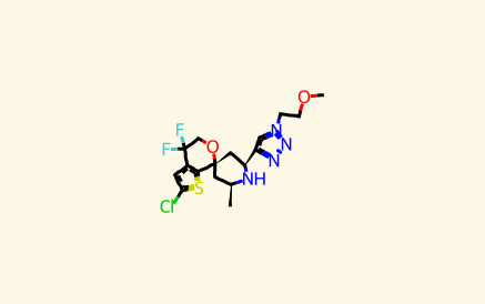 COCCn1cc([C@@H]2C[C@]3(C[C@H](C)N2)OCC(F)(F)c2cc(Cl)sc23)nn1